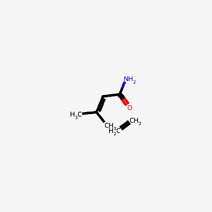 C=C.CC(C)=CC(N)=O